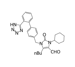 CCCCc1c(C=O)n(C2CCCCC2)c(=O)n1Cc1ccc(-c2ccccc2-c2nnn[nH]2)cc1